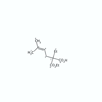 CCOC(=O)C(CC)(CC=C(C)C)C(=O)O